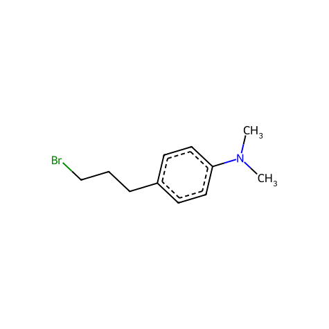 CN(C)c1ccc(CCCBr)cc1